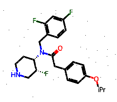 CC(C)Oc1ccc(CC(=O)N(Cc2ccc(F)cc2F)[C@H]2CCNC[C@H]2F)cc1